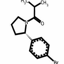 CC(C)C(=O)N1CCC[C@H]1c1ccc(Br)cc1